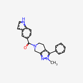 Cn1nc2c(c1-c1ccccc1)CCN(C(=O)c1ccc3[nH]ccc3c1)C2